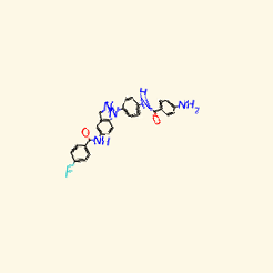 Nc1ccc(C(=O)Nc2ccc(-n3ncc4cc(NC(=O)c5ccc(F)cc5)ccc43)cc2)cc1